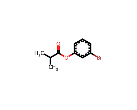 CC(C)C(=O)Oc1cccc(Br)c1